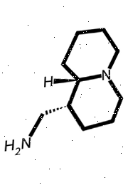 NC[C@H]1CCCN2CCCC[C@@H]12